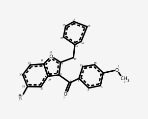 COc1ccc(C(=O)c2c(Cc3ccccc3)oc3ccc(Br)cc23)cc1